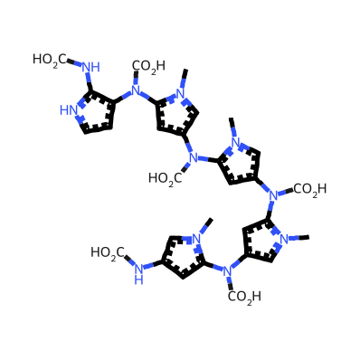 Cn1cc(NC(=O)O)cc1N(C(=O)O)c1cc(N(C(=O)O)c2cc(N(C(=O)O)c3cc(N(C(=O)O)c4cc[nH]c4NC(=O)O)n(C)c3)n(C)c2)n(C)c1